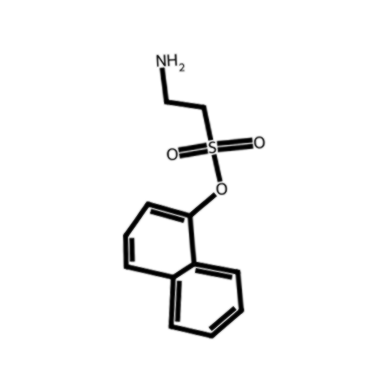 NCCS(=O)(=O)Oc1cccc2ccccc12